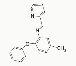 Cc1ccc(Oc2ccccc2)c(N=Cc2ccccn2)c1